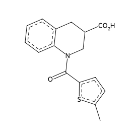 Cc1ccc(C(=O)N2CC(C(=O)O)Cc3ccccc32)s1